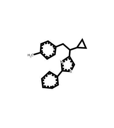 Cc1ccc(CC(c2csc(-c3ccccc3)n2)C2CC2)cc1